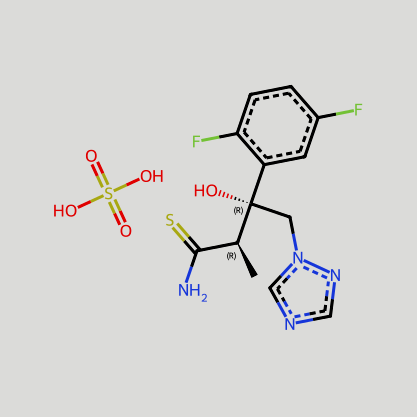 C[C@@H](C(N)=S)[C@](O)(Cn1cncn1)c1cc(F)ccc1F.O=S(=O)(O)O